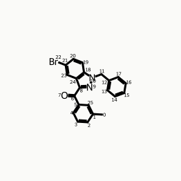 Cc1cccc(C(=O)c2nn(Cc3ccccc3)c3ccc(Br)cc23)c1